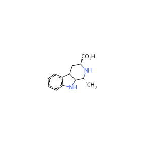 C[C@H]1N[C@H](C(=O)O)CC2c3ccccc3NC21